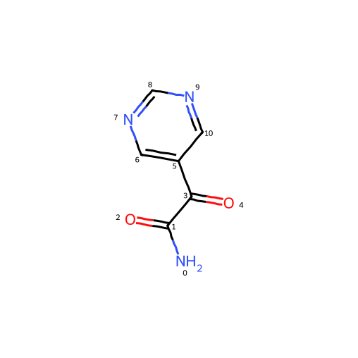 NC(=O)C(=O)c1cncnc1